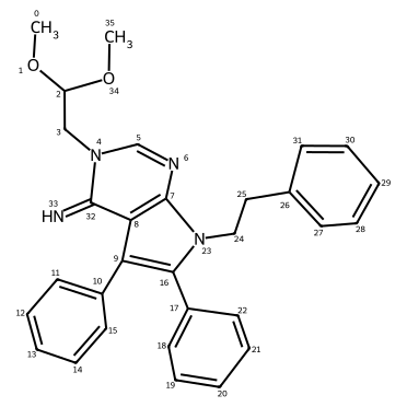 COC(Cn1cnc2c(c(-c3ccccc3)c(-c3ccccc3)n2CCc2ccccc2)c1=N)OC